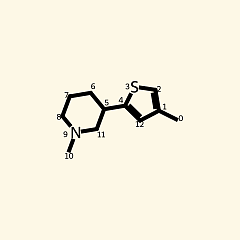 Cc1csc(C2CCCN(C)C2)c1